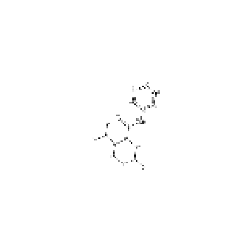 CC1CCC(C(C)C)C(C(=O)Nc2cccnc2)C1